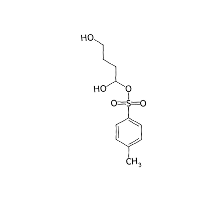 Cc1ccc(S(=O)(=O)OC(O)CCCO)cc1